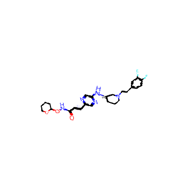 O=C(/C=C/c1cnc(N[C@@H]2CCCN(CCc3ccc(F)c(F)c3)C2)cn1)NOC1CCCCO1